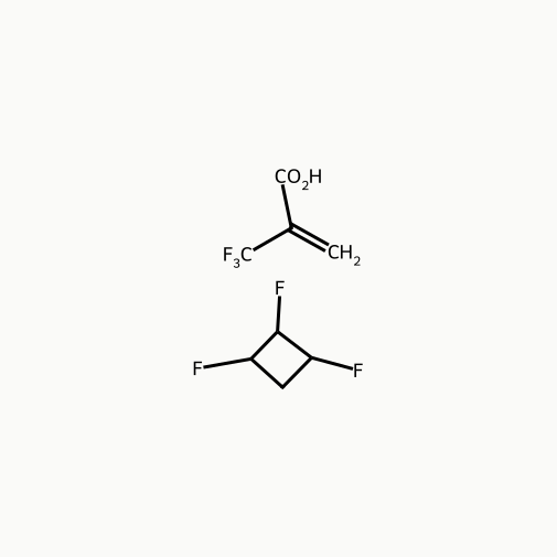 C=C(C(=O)O)C(F)(F)F.FC1CC(F)C1F